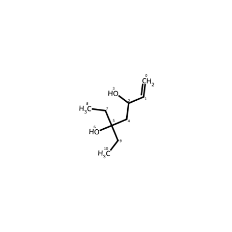 C=CC(O)CC(O)(CC)CC